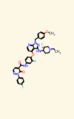 CCN1CCC(Nc2nn(Cc3ccc(OC)cc3)c3nccc(Oc4ccc(NC(=O)c5ccnn(-c6ccc(F)cc6)c5=O)cc4F)c23)[C@H](F)C1